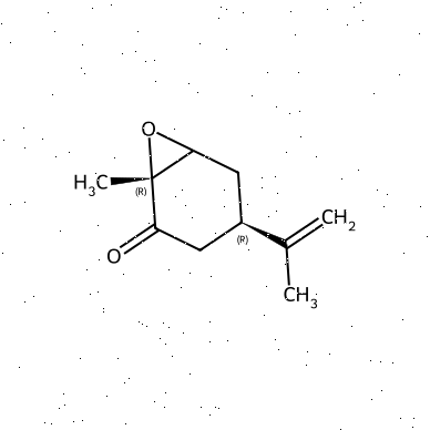 C=C(C)[C@H]1CC(=O)[C@]2(C)OC2C1